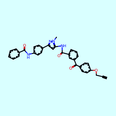 C#CCOc1ccc(C(=O)c2cccc(C(=O)Nc3cc(-c4ccc(NC(=O)c5ccccc5)cc4)nn3C)c2)cc1